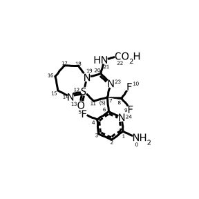 Nc1ccc(F)c([C@]2(C(F)F)CS3(=O)=NCCCCN3C(NC(=O)O)=N2)n1